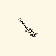 COC(=O)CCCCCCOC(=O)C1CCC(CN2C(=O)C=CC2=O)CC1